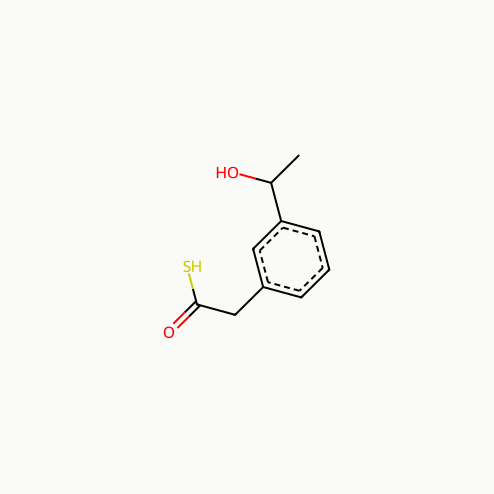 CC(O)c1cccc(CC(=O)S)c1